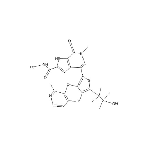 CCNC(=O)c1cc2c(-c3sc(C(C)(C)C(C)(C)O)c(F)c3Oc3c(C)ccnc3C)cn(C)c(=O)c2[nH]1